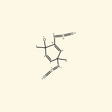 CC1(N=C=O)C=CC(C)(Cl)C(N=C=O)=C1